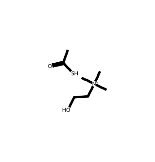 CC(=O)S.C[N+](C)(C)CCO